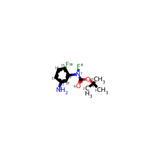 CC(C)(C)OC(=O)N(F)c1cc(N)ccc1F